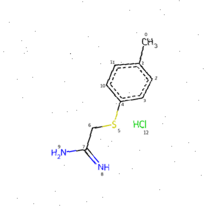 Cc1ccc(SCC(=N)N)cc1.Cl